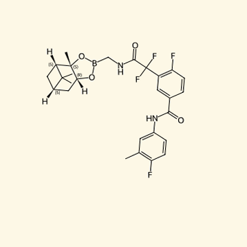 Cc1cc(NC(=O)c2ccc(F)c(C(F)(F)C(=O)NCB3O[C@@H]4C[C@@H]5C[C@@H](C5(C)C)[C@]4(C)O3)c2)ccc1F